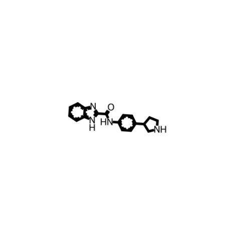 O=C(Nc1ccc(C2CCNC2)cc1)c1nc2ccccc2[nH]1